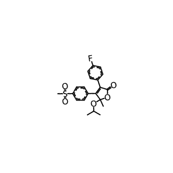 CC(C)OC1(C)OC(=O)C(c2ccc(F)cc2)=C1c1ccc(S(C)(=O)=O)cc1